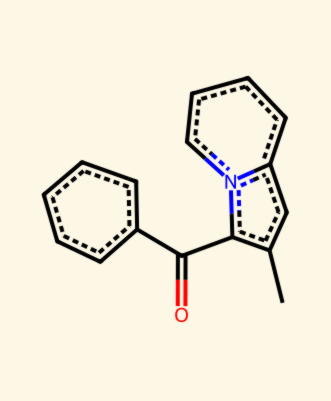 Cc1cc2ccccn2c1C(=O)c1ccccc1